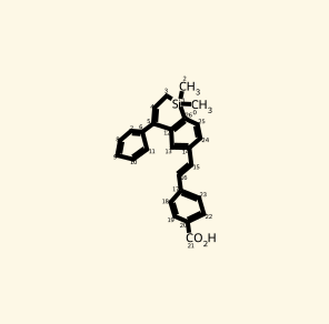 C[Si]1(C)CC=C(c2ccccc2)c2cc(C=Cc3ccc(C(=O)O)cc3)ccc21